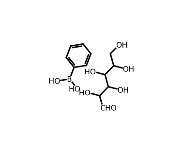 O=CC(O)C(O)C(O)C(O)CO.OB(O)c1ccccc1